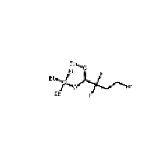 CCOC(O[Si](CC)(CC)CC)C(F)(F)CCBr